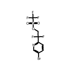 O=S(=O)(OCC(F)(F)c1ccc(Br)cn1)C(F)(F)F